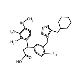 CNc1ccc(C(CC(=O)O)c2ccc(C)c(Cn3ccnc3CC3CCCCC3)c2)c(C)c1N